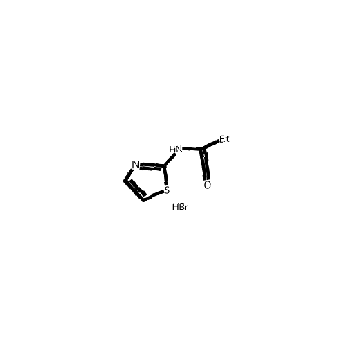 Br.CCC(=O)Nc1nccs1